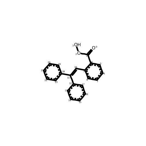 O=C(OO)c1ccccc1C=C(c1ccccc1)c1ccccc1